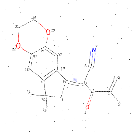 C=C(C)C(=O)/C(C#N)=C1\CC(C)(C)c2cc3c(cc21)OCCO3